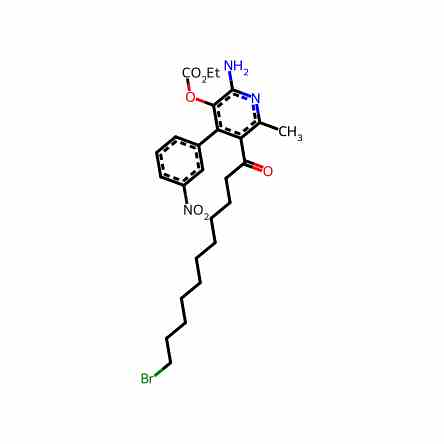 CCOC(=O)Oc1c(N)nc(C)c(C(=O)CCCCCCCCCCBr)c1-c1cccc([N+](=O)[O-])c1